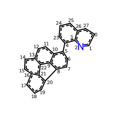 c1cnc2c(-c3ccc4c5c3ccc3ccc6cccc-4c6c35)cccc2c1